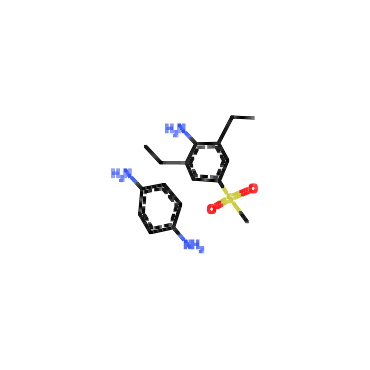 CCc1cc(S(C)(=O)=O)cc(CC)c1N.Nc1ccc(N)cc1